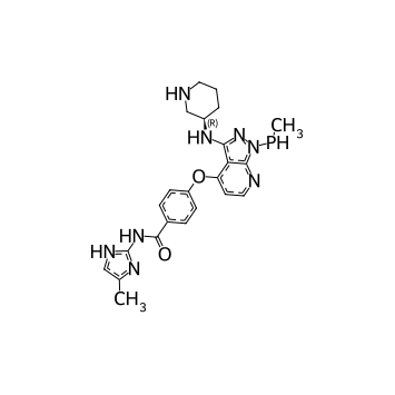 CPn1nc(N[C@@H]2CCCNC2)c2c(Oc3ccc(C(=O)Nc4nc(C)c[nH]4)cc3)ccnc21